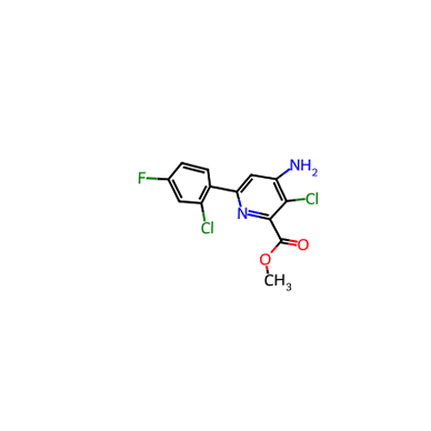 COC(=O)c1nc(-c2ccc(F)cc2Cl)cc(N)c1Cl